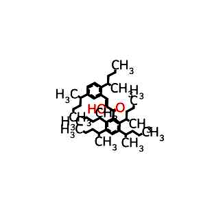 CCCC(C)c1ccc(C(C)CCC)c(C=C(O)C(=O)c2c(C(C)CCC)c(C(C)CCC)cc(C(C)CCC)c2C(C)CCC)c1